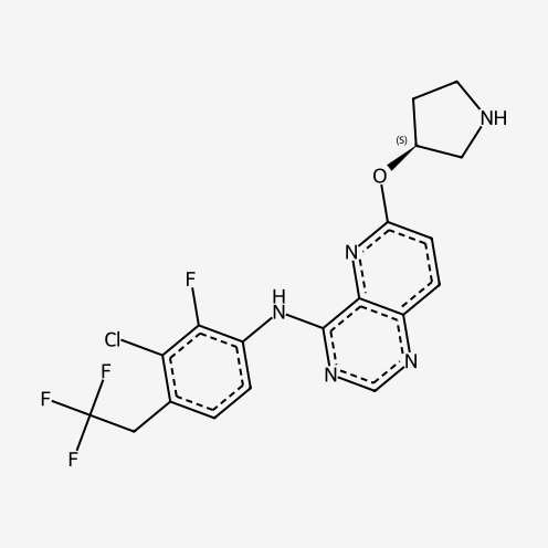 Fc1c(Nc2ncnc3ccc(O[C@H]4CCNC4)nc23)ccc(CC(F)(F)F)c1Cl